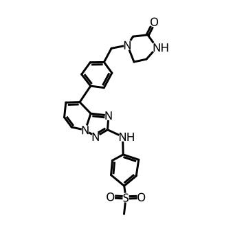 CS(=O)(=O)c1ccc(Nc2nc3c(-c4ccc(CN5CCNC(=O)C5)cc4)cccn3n2)cc1